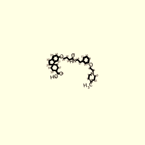 CN1CCN(CCOc2cccc(CCNC(=O)CCCOc3ccc4c(c3)C3(CC4)CCC(C(=O)O)CC3)c2)CC1